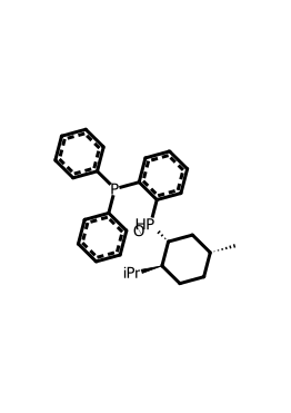 CC(C)[C@@H]1CC[C@@H](C)C[C@H]1[PH](=O)c1ccccc1P(c1ccccc1)c1ccccc1